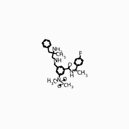 C[C@@H](NC(=O)c1cc(CNCC(C)(N)Cc2ccccc2)cc(N(C)S(C)(=O)=O)c1)c1ccc(F)cc1